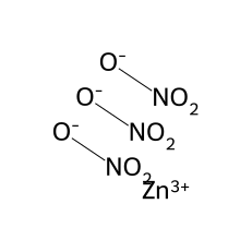 O=[N+]([O-])[O-].O=[N+]([O-])[O-].O=[N+]([O-])[O-].[Zn+3]